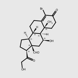 C[C@]12CCC(=O)C(Br)=C1CC[C@@H]1[C@@H]2[C@@H](O)C[C@]2(C=O)[C@@H](C(=O)CO)CC[C@@H]12